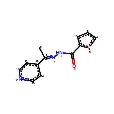 C/C(=N\NC(=O)c1cccs1)c1ccncc1